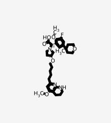 COc1cc(CCCCCO[C@@H]2CCN([C@H](C(=O)O)c3cc(C4(C)CCOCC4)cc(F)c3OC)C2)nc2c1CCCN2